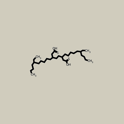 CCCCC(CC)CCCCCC(CCC(CCCCCC(CC)CCCC)CC(O)=S)CC(O)=S